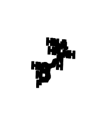 CN(C)C(=N)NC(=N)NCCc1c[nH]c2nc(F)ccc12